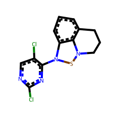 Clc1ncc(Cl)c(N2SN3CCCc4cccc2c43)n1